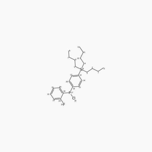 CCCC[Si](CCCC)(CCCC)c1ccc(P(Cl)c2ccccc2F)cc1